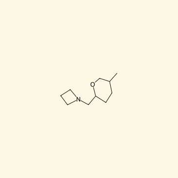 CC1CCC(CN2CCC2)OC1